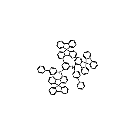 c1ccc(-c2ccc(N(c3cc(-c4cccc5c4-c4ccccc4C54c5ccccc5-c5ccccc54)cc(N(c4ccc(-c5ccccc5)cc4)c4cccc5c4-c4ccccc4C54c5ccccc5-c5ccccc54)c3)c3cccc4c3-c3ccccc3C43c4ccccc4-c4ccccc43)cc2)cc1